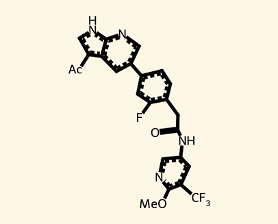 COc1ncc(NC(=O)Cc2ccc(-c3cnc4[nH]cc(C(C)=O)c4c3)cc2F)cc1C(F)(F)F